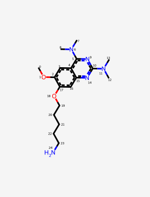 COc1cc2c(N(C)C)nc(N(C)C)nc2cc1OCCCCCN